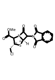 COC(=O)C1[C@@H](CCl)S[C@@H]2C(N3C(=O)c4ccccc4C3=O)C(=O)N12